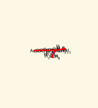 CC(=O)CCOCCOCCOCCOCCOCCC(=O)NCCCOCCOCCOCCCNC(=O)[C@H](CCCCNC(=O)/C=C(C)/C=C/C=C(\C)CCC1=C(C)CCCC1(C)C)NC(=O)/C=C(C)/C=C/C=C(C)/C=C/C1=C(C)CCCC1(C)C